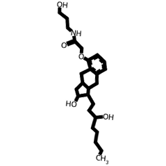 CCCCCC(O)CCC1C(O)CC2Cc3c(cccc3OCC(=O)NCCCO)CC21